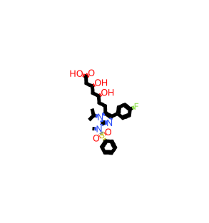 CC(C)n1c(N(C)S(=O)(=O)c2ccccc2)nc(-c2ccc(F)cc2)c1CCC(O)CC(O)CC(=O)O